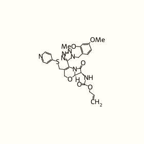 C=CCOC(=O)N[C@@H]1C(=O)N2C(c3nnnn3Cc3ccc(OC)cc3OC)=C(CSc3ccncc3)CO[C@H]12